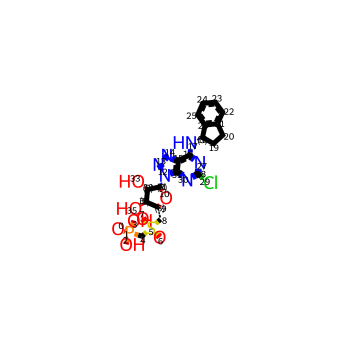 O=P(O)(O)CS(=O)(=O)C[C@H]1O[C@@H](n2nnc3c(N[C@H]4CCc5ccccc54)nc(Cl)nc32)[C@H](O)[C@@H]1O